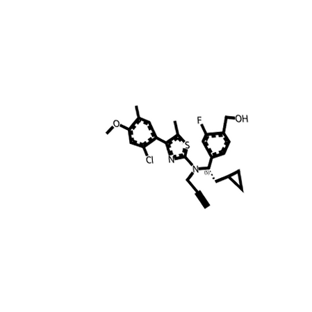 C#CCN(c1nc(-c2cc(C)c(OC)cc2Cl)c(C)s1)[C@@H](CC1CC1)c1ccc(CO)c(F)c1